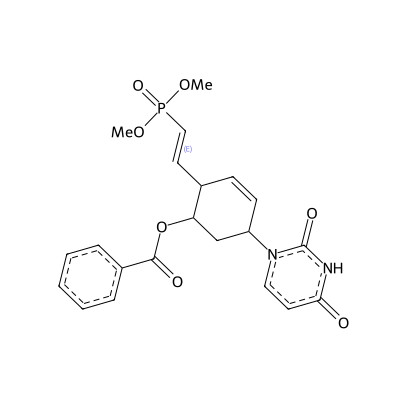 COP(=O)(/C=C/C1C=CC(n2ccc(=O)[nH]c2=O)CC1OC(=O)c1ccccc1)OC